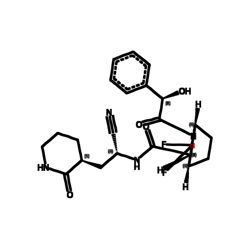 N#C[C@@H](C[C@@H]1CCCNC1=O)NC(=O)[C@H]1[C@H]2CC[C@H](CC2(F)F)N1C(=O)[C@H](O)c1ccccc1